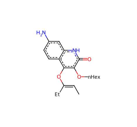 CC=C(CC)Oc1c(OCCCCCC)c(=O)[nH]c2cc(N)ccc12